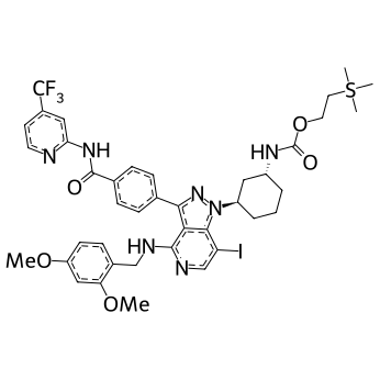 COc1ccc(CNc2ncc(I)c3c2c(-c2ccc(C(=O)Nc4cc(C(F)(F)F)ccn4)cc2)nn3[C@@H]2CCC[C@@H](NC(=O)OCCS(C)(C)C)C2)c(OC)c1